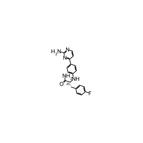 NC(=O)[C@@H](Cc1ccc(F)cc1)Nc1ccc(-c2ccnc(N)n2)cc1